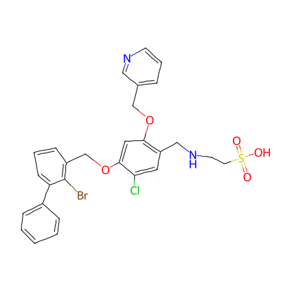 O=S(=O)(O)CCNCc1cc(Cl)c(OCc2cccc(-c3ccccc3)c2Br)cc1OCc1cccnc1